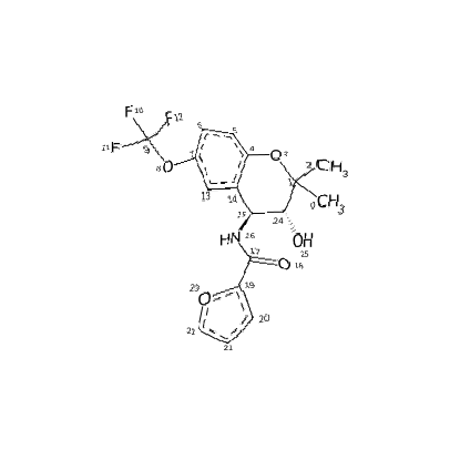 CC1(C)Oc2ccc(OC(F)(F)F)cc2[C@H](NC(=O)c2ccco2)[C@H]1O